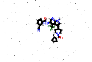 C[C@@H]1CCC[C@H]1C(=O)N1CCC(c2cn(C)c3ncc(NC(=O)c4cccc(C#N)c4)c(C(F)(F)F)c23)CC1